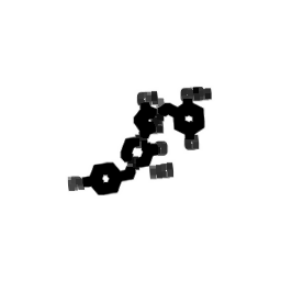 Cc1cc(N2CCN(Cc3ccc(C(C)C)cc3)CC2=O)nn1Cc1cc(Cl)ccc1OCC(C)C.Cl